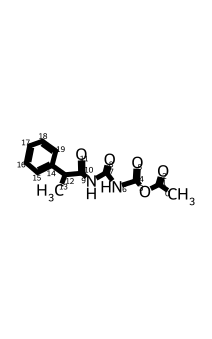 CC(=O)OC(=O)NC(=O)NC(=O)C(C)c1ccccc1